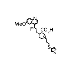 COc1ccc2nccc([C@H](F)CC[C@@H]3CCN(CCCSc4ccsc4)C[C@@H]3C(=O)O)c2c1